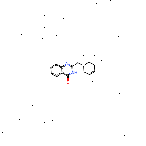 O=c1[nH]c(CC2CC=CCC2)nc2ccccc12